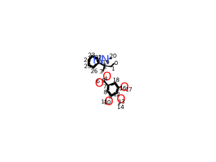 CC[C@](COC(=O)c1cc(OC)c(OC)c(OC)c1)(NC)c1ccccc1